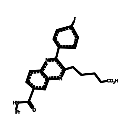 CC(C)NC(=O)c1ccc2nc(-c3ccc(F)cc3)c(CCCCC(=O)O)nc2c1